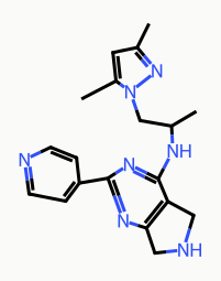 Cc1cc(C)n(CC(C)Nc2nc(-c3ccncc3)nc3c2CNC3)n1